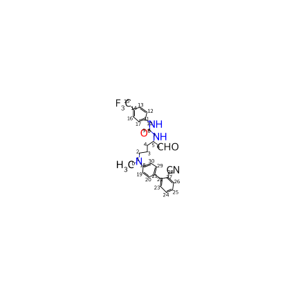 CN(CCCC(C=O)NC(=O)Nc1ccc(C(F)(F)F)cc1)c1ccc(-c2ccccc2C#N)cc1